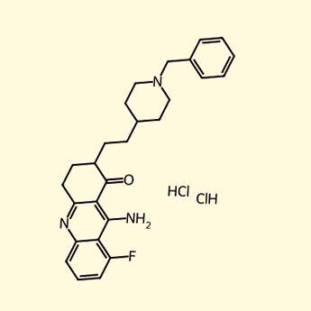 Cl.Cl.Nc1c2c(nc3cccc(F)c13)CCC(CCC1CCN(Cc3ccccc3)CC1)C2=O